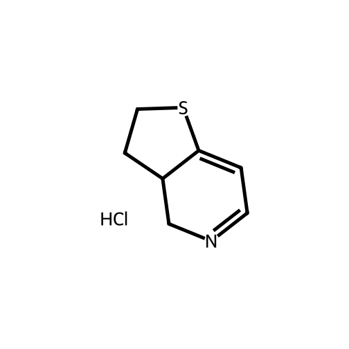 C1=NCC2CCSC2=C1.Cl